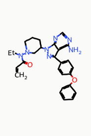 C=CC(=O)N(CC)N1CCCC(n2nc(-c3ccc(Oc4ccccc4)cc3)c3c(N)ncnc32)C1